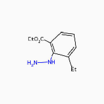 CCOC(=O)c1cccc(CC)c1NN